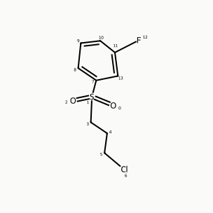 O=S(=O)(CCCCl)c1cccc(F)c1